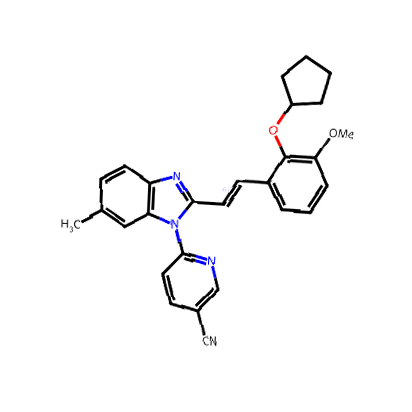 COc1cccc(/C=C/c2nc3ccc(C)cc3n2-c2ccc(C#N)cn2)c1OC1CCCC1